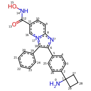 NC1(c2ccc(-c3nc4ccc(C(=O)NO)cn4c3-c3ccccc3)cc2)CCC1